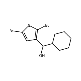 CCc1sc(Br)cc1C(O)C1CCCCC1